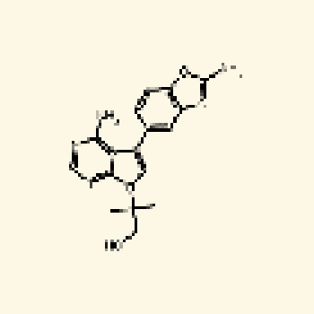 CC(C)(CO)n1cc(-c2ccc3oc(N)nc3c2)c2c(N)ncnc21